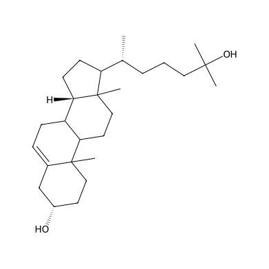 C[C@H](CCCC(C)(C)O)C1CC[C@H]2C3CC=C4C[C@@H](O)CCC4(C)C3CCC12C